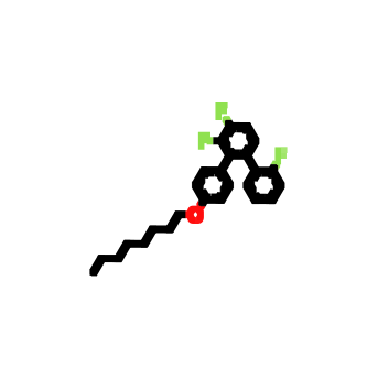 CCCCCCCCOc1ccc(-c2c(-c3ccccc3F)ccc(F)c2F)cc1